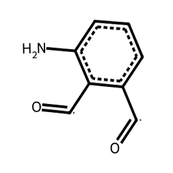 Nc1cccc([C]=O)c1[C]=O